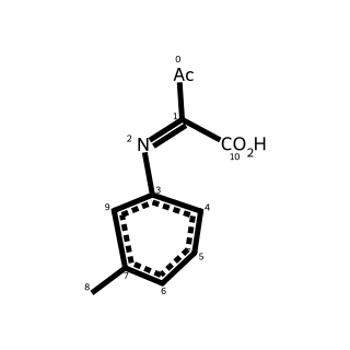 CC(=O)C(=Nc1cccc(C)c1)C(=O)O